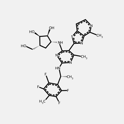 Cc1nc(N[C@H](C)c2c(F)c(F)c(C)c(F)c2F)nc(N[C@@H]2C[C@H](CO)[C@@H](O)[C@H]2O)c1-c1nc2c(C)nccc2s1